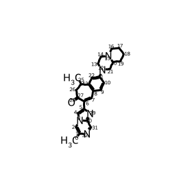 Cc1cn2cc(C3=Cc4ccc(N5CCN6CCCCC6C5)cc4C(C)CC3=O)nc2cn1